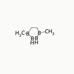 CB1BBB(C)CC1